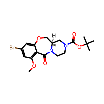 COc1cc(Br)cc2c1C(=O)N1CCN(C(=O)OC(C)(C)C)C[C@@H]1CO2